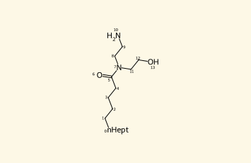 CCCCCCCCCCCC(=O)N(CCN)CCO